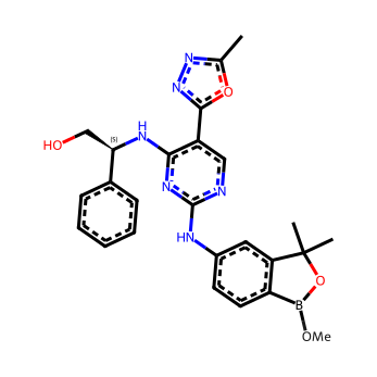 COB1OC(C)(C)c2cc(Nc3ncc(-c4nnc(C)o4)c(N[C@H](CO)c4ccccc4)n3)ccc21